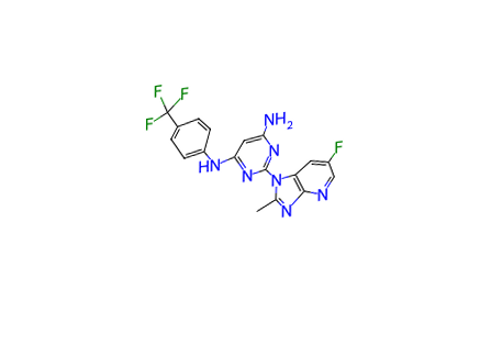 Cc1nc2ncc(F)cc2n1-c1nc(N)cc(Nc2ccc(C(F)(F)F)cc2)n1